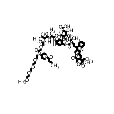 CCCC(=O)N1CCC(N(CCOCCOCCOCCOC)C(=O)COCC(=O)N[C@H](C(=O)N[C@@H](C)C(=O)Nc2ccc(COC(=O)N(CCc3c4c(nc5ccccc35)-c3cc5c(c(=O)n3C4)COC(=O)[C@]5(O)CC)C(C)C)cc2O[C@@H]2O[C@H](C(=O)O)[C@@H](O)[C@H](O)[C@H]2O)C(C)C)CC1